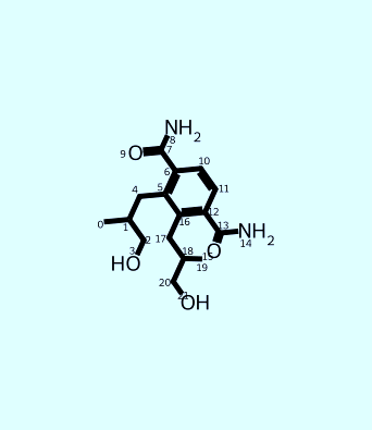 CC(CO)Cc1c(C(N)=O)ccc(C(N)=O)c1CC(C)CO